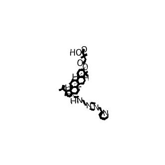 C=C(C)C1CC[C@]2(CCNCCN3CCN(Cc4ccccn4)CC3)CC[C@]3(C)[C@H](CC[C@@H]4[C@@]5(C)CC[C@H](OC(=O)CC(C)(C)C(=O)O)C(C)(C)[C@@H]5CC[C@]43C)[C@@H]12